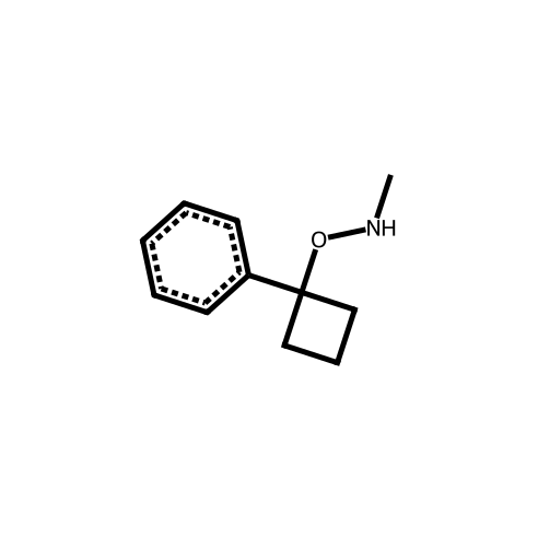 CNOC1(c2ccccc2)CCC1